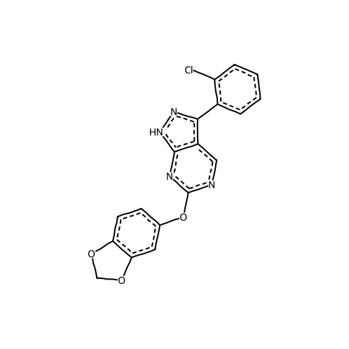 Clc1ccccc1-c1n[nH]c2nc(Oc3ccc4c(c3)OCO4)ncc12